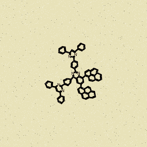 c1ccc(-c2cc(-c3ccccc3)nc(-c3ccc(-c4nc(-c5ccc(-c6nc(-c7ccccc7)cc(-c7ccccc7)n6)cc5)c5cc(-c6ccc7ccc8cccc9ccc6c7c89)cc(-c6ccc7ccc8cccc9ccc6c7c89)c5n4)cc3)n2)cc1